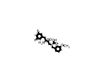 COc1cccc(CN(C[C@@H](O)[C@@H](N)Cc2cc(F)cc(F)c2)C(=O)O)c1